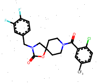 O=C1OC2(CCN(C(=O)c3cc(C(F)(F)F)ccc3Cl)CC2)CN1Cc1ccc(F)c(F)c1